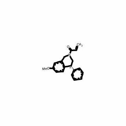 C=CC(=O)N1Cc2cc(OC)ccc2[C@@H](c2ccccc2)C1